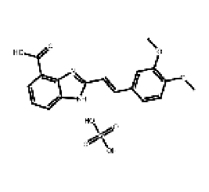 COc1ccc(/C=C/c2nc3c(C(=O)O)cccc3[nH]2)cc1OC.O=S(=O)(O)O